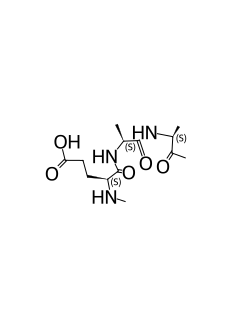 CN[C@@H](CCC(=O)O)C(=O)N[C@@H](C)C(=O)N[C@@H](C)C(C)=O